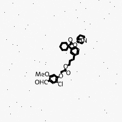 COc1cc(OCC(=O)OCCCc2cccc(C3(C(=O)OC4CN5CCC4CC5)CCCCC3)c2)c(Cl)cc1C=O